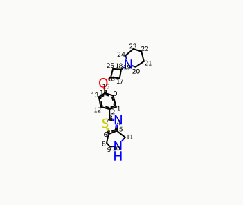 c1cc(-c2nc3c(s2)CCNC3)ccc1OC1CC(N2CCCCC2)C1